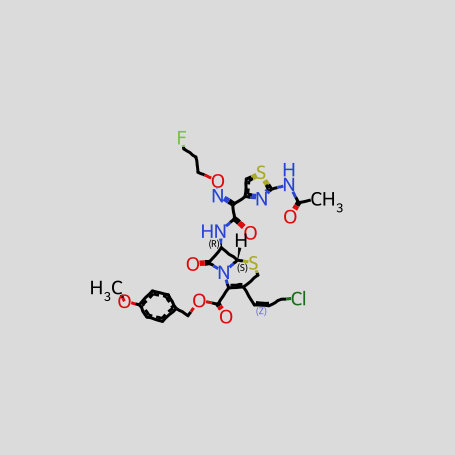 COc1ccc(COC(=O)C2=C(/C=C\CCl)CS[C@H]3[C@H](NC(=O)C(=NOCCCF)c4csc(NC(C)=O)n4)C(=O)N23)cc1